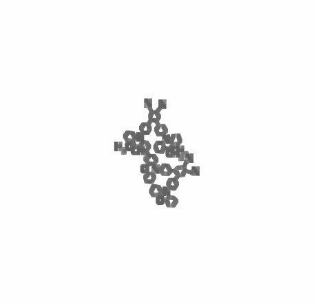 CC1(C)c2ccccc2N(c2ccc(-c3cc(C#N)c(C#N)cc3-c3ccc(N4c5ccccc5C(C)(C)c5cc(-c6ccc7c(c6)Oc6ccccc6N7c6ccc(-c7cc(C#N)c(C#N)cc7-c7ccc(N8c9ccccc9Oc9ccccc98)cc7)cc6)ccc54)cc3)cc2)c2ccccc21